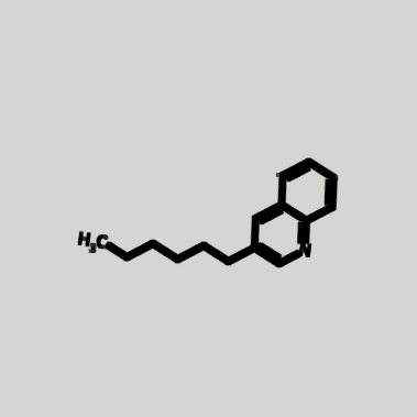 CCCCCCc1cnc2ccc[c]c2c1